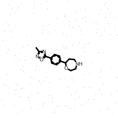 Cc1noc(-c2ccc(C3CCNCCO3)cc2)n1